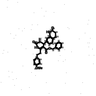 COc1ccc(CCC2=C(C(=O)OCc3ccccc3)C(c3ccc4c(c3)NC(=O)CS4)NC(=O)N2)cc1